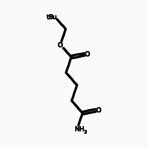 CC(C)(C)COC(=O)CCCC(N)=O